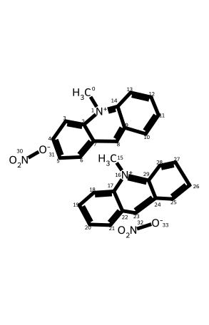 C[n+]1c2ccccc2cc2ccccc21.C[n+]1c2ccccc2cc2ccccc21.O=[N+]([O-])[O-].O=[N+]([O-])[O-]